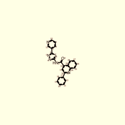 O=C(Nc1nnc(-c2cccnc2)s1)c1cc(-c2ccccc2)nc2ccccc12